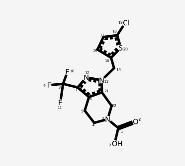 O=C(O)N1CCc2c(C(F)(F)F)nn(Cc3ccc(Cl)s3)c2C1